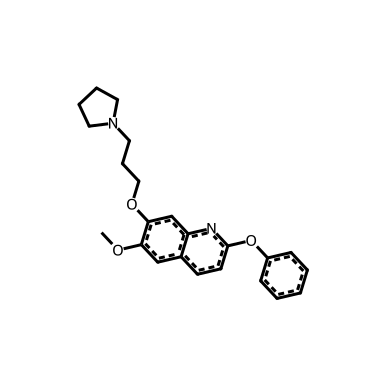 COc1cc2ccc(Oc3ccccc3)nc2cc1OCCCN1CCCC1